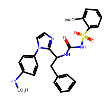 COc1ccccc1S(=O)(=O)NC(=O)NC(Cc1ccccc1)c1nccn1-c1ccc(NC(=O)O)cc1